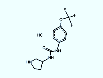 Cl.O=C(Nc1ccc(OC(F)(F)F)cc1)NC1CCNC1